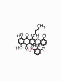 CCCCOc1c(Nc2c(C)cccc2Cl)c(Nc2c(C)cccc2Cl)c(F)c2c1C(=O)c1c(O)ccc(O)c1C2=O